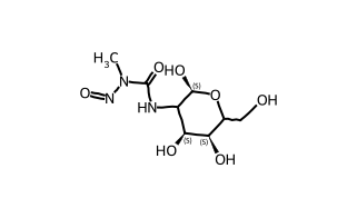 CN(N=O)C(=O)NC1[C@@H](O)OC(CO)[C@@H](O)[C@H]1O